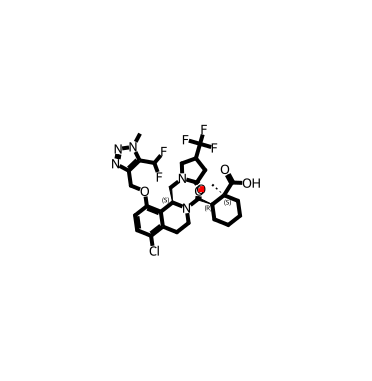 Cn1nnc(COc2ccc(Cl)c3c2[C@@H](CN2CC(C(F)(F)F)CC2=O)N(C(=O)[C@@H]2CCCC[C@]2(C)C(=O)O)CC3)c1C(F)F